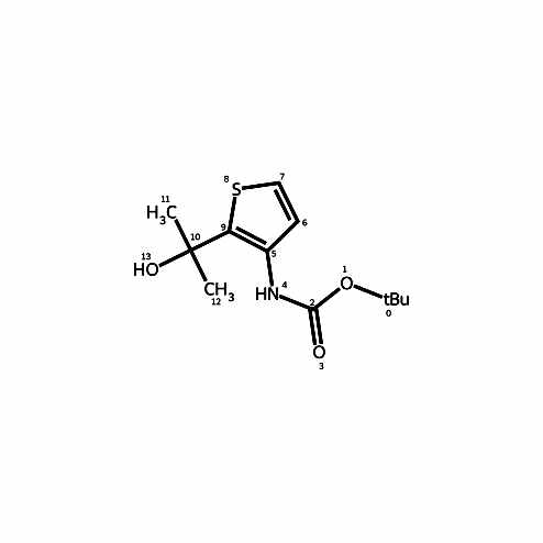 CC(C)(C)OC(=O)Nc1ccsc1C(C)(C)O